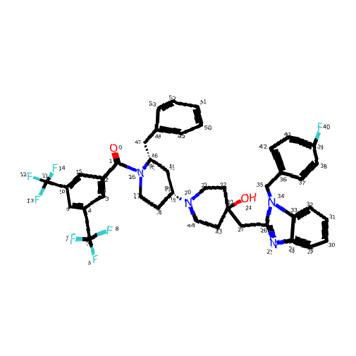 O=C(c1cc(C(F)(F)F)cc(C(F)(F)F)c1)N1CC[C@@H](N2CCC(O)(Cc3nc4ccccc4n3Cc3ccc(F)cc3)CC2)C[C@H]1Cc1ccccc1